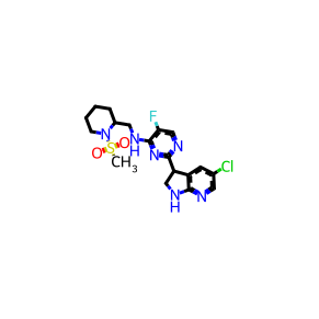 CS(=O)(=O)N1CCCCC1CNc1nc(C2CNc3ncc(Cl)cc32)ncc1F